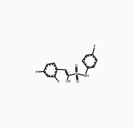 N#C/C(=C\c1ccc(F)cc1F)S(=O)(=O)Nc1ccc(F)cc1